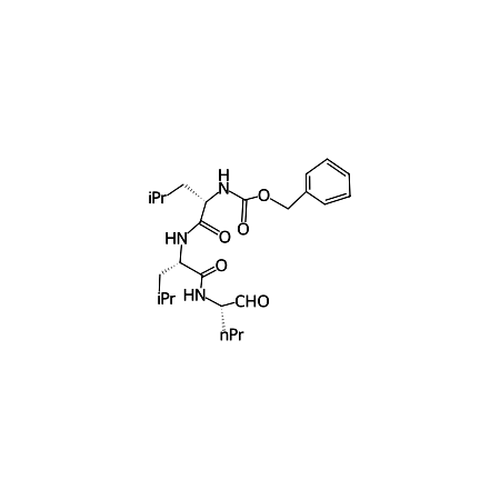 CCC[C@@H](C=O)NC(=O)[C@H](CC(C)C)NC(=O)[C@H](CC(C)C)NC(=O)OCc1ccccc1